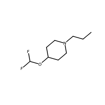 CCCN1CCC(OC(F)F)CC1